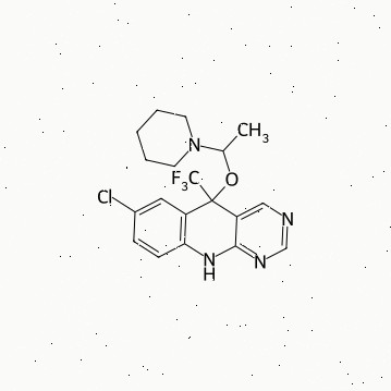 CC(OC1(C(F)(F)F)c2cc(Cl)ccc2Nc2ncncc21)N1CCCCC1